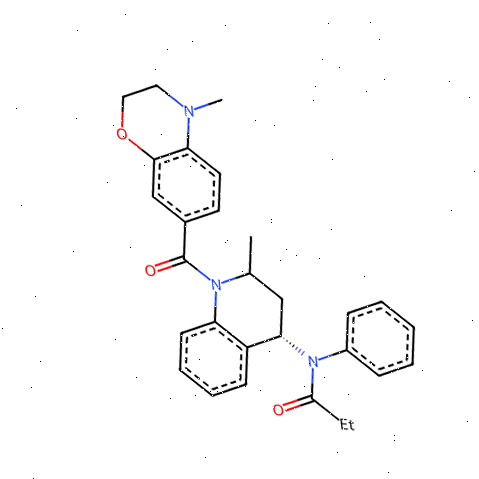 CCC(=O)N(c1ccccc1)[C@H]1CC(C)N(C(=O)c2ccc3c(c2)OCCN3C)c2ccccc21